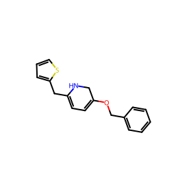 C1=C(Cc2cccs2)NCC(OCc2ccccc2)=C1